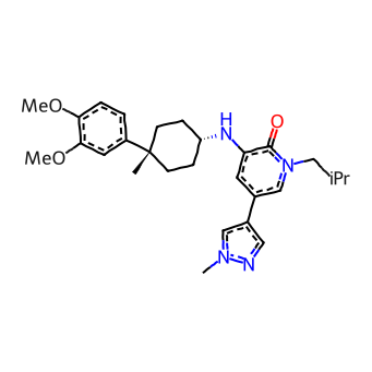 COc1ccc([C@]2(C)CC[C@H](Nc3cc(-c4cnn(C)c4)cn(CC(C)C)c3=O)CC2)cc1OC